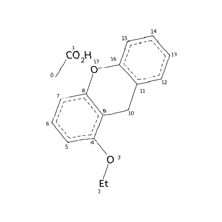 CC(=O)O.CCOc1cccc2c1Cc1ccccc1O2